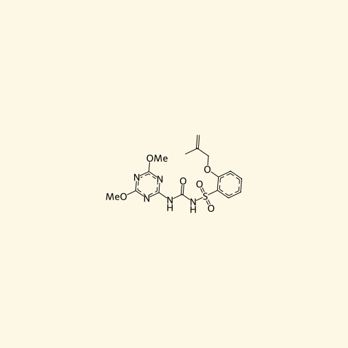 C=C(C)COc1ccccc1S(=O)(=O)NC(=O)Nc1nc(OC)nc(OC)n1